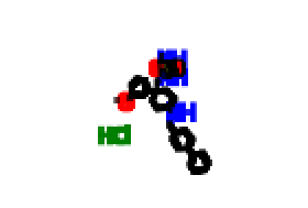 CNS(=O)(=O)NC[C@]1(c2cccc(OC)c2)CC[C@H](NCc2ccc(-c3ccccc3)cc2)CC1.Cl